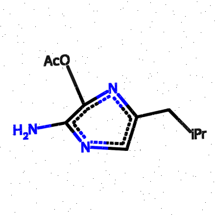 CC(=O)Oc1nc(CC(C)C)cnc1N